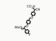 CO/N=C(\COc1ccc(COc2ccc(C(C#N)CC(=O)O)cc2)cc1)c1ccc(F)cc1